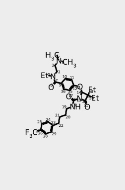 CCN(CCN(C)C)C(=O)c1ccc(OC2N(C(=O)NCCCCc3ccc(C(F)(F)F)cc3)C(=O)C2(CC)CC)cc1